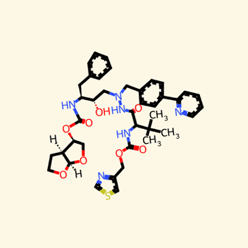 CC(C)(C)C(NC(=O)OCc1cscn1)C(=O)NN(Cc1ccc(-c2ccccn2)cc1)C[C@H](O)[C@H](Cc1ccccc1)NC(=O)O[C@H]1CO[C@H]2OCC[C@H]21